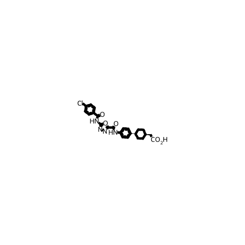 O=C(O)C[C@H]1CC[C@H](c2ccc(NC(=O)c3nnc(NC(=O)c4ccc(Cl)cc4)o3)cc2)CC1